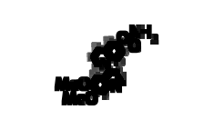 COc1cc2nncc(N3CCCc4cc(OC(N)=O)ccc43)c2cc1OC